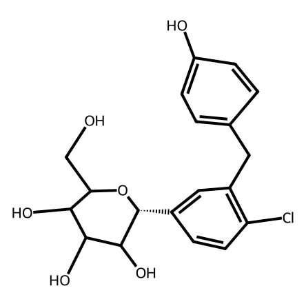 OCC1O[C@H](c2ccc(Cl)c(Cc3ccc(O)cc3)c2)C(O)C(O)C1O